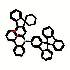 c1ccc(-c2ccccc2N(c2ccc3c(c2)-c2ccccc2C32c3ccccc3-c3ccccc32)c2ccc3c(c2)C2(CCCCC2)c2ccccc2-3)cc1